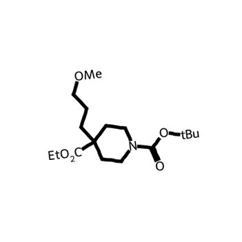 CCOC(=O)C1(CCCOC)CCN(C(=O)OC(C)(C)C)CC1